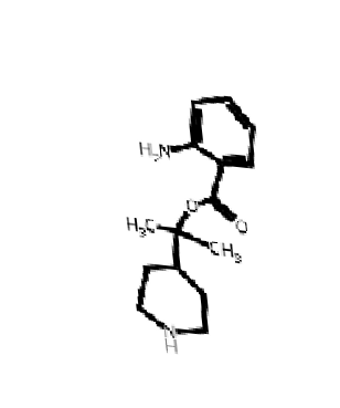 CC(C)(OC(=O)c1ccccc1N)C1CCNCC1